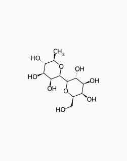 C[C@H]1OC([C]2O[C@H](CO)[C@H](O)[C@H](O)[C@H]2O)[C@@H](O)[C@@H](O)[C@@H]1O